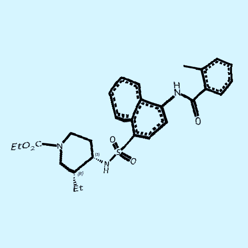 CCOC(=O)N1CC[C@H](NS(=O)(=O)c2ccc(NC(=O)c3ccccc3C)c3ccccc23)[C@H](CC)C1